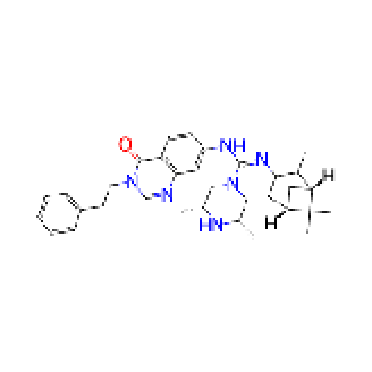 CC1C(/N=C(/Nc2ccc3c(=O)n(CCc4ccccc4)cnc3c2)N2C[C@@H](C)N[C@@H](C)C2)C[C@@H]2C[C@H]1C2(C)C